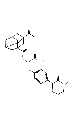 COC(=O)[C@H](Cc1ccc(C2CCCN(C)C2=O)cc1)NC(=O)C12CC3CC(C1)CC(C(=O)OC)(C3)C2